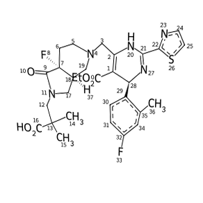 CCOC(=O)C1=C(CN2CC[C@]3(F)C(=O)N(CC(C)(C)C(=O)O)C[C@@H]3C2)NC(c2nccs2)=N[C@H]1c1ccc(F)cc1C